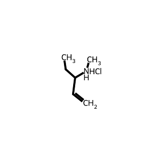 C=CC(CC)NC.Cl